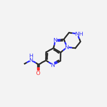 CNC(=O)c1cc2nc3n(c2cn1)CCNC3